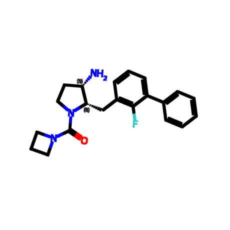 N[C@H]1CCN(C(=O)N2CCC2)[C@H]1Cc1cccc(-c2ccccc2)c1F